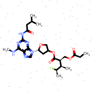 CCC(=O)OC[C@H](C(=O)OC1CO[C@@H](n2cnc3c(NC)nc(NC(=O)CC(C)C)nc32)C1)[C@@H](C)[C@@H](C)F